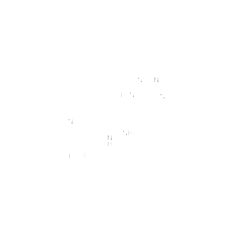 Nc1ncnc2c1c(-c1ccc(NC(=O)Nc3ccc(CN4CCCCC45CC5)c(C(F)(F)F)c3)c(F)c1)cn2C1CC1